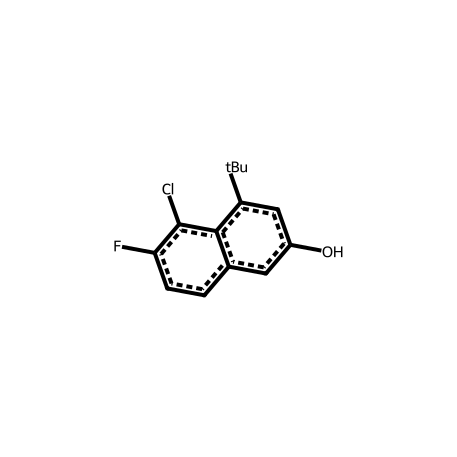 CC(C)(C)c1cc(O)cc2ccc(F)c(Cl)c12